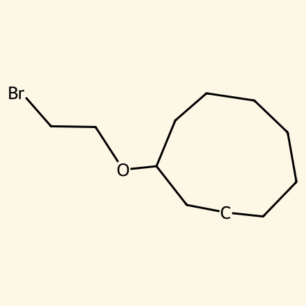 BrCCOC1CCCCCCCC1